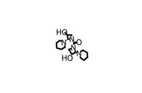 O=C(N1CC(O)[C@H]1N1CCCCC1)N1CC(O)[C@H]1N1CCCCC1